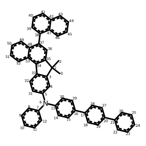 CC1(C)c2cc(N(c3ccccc3)c3ccc(-c4ccc(-c5ccccc5)cc4)cc3)ccc2-c2c1cc(-c1cccc3ccccc13)c1ccccc21